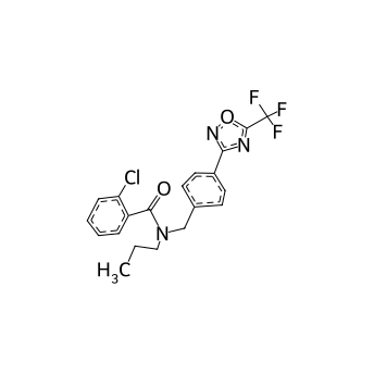 CCCN(Cc1ccc(-c2noc(C(F)(F)F)n2)cc1)C(=O)c1ccccc1Cl